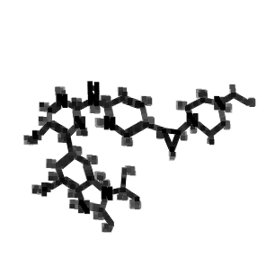 CCN1CCN(C2CC2c2ccc(Nc3ncc(F)c(-c4cc(F)c5nc(C)n(C(C)C)c5c4)n3)nc2)CC1